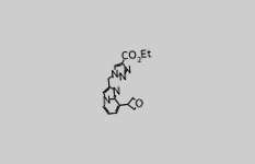 CCOC(=O)c1cn(Cc2cn3cccc(C4COC4)c3n2)nn1